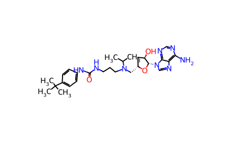 CC(C)N(CCCNC(=O)Nc1ccc(C(C)(C)C)cc1)C[C@@H]1C[C@@H](O)[C@H](n2cnc3c(N)ncnc32)O1